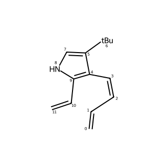 C=C/C=C\c1c(C(C)(C)C)c[nH]c1C=C